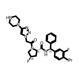 CC(C)c1ccc([C@@H](NC(=O)[C@@H]2C[C@@H](F)CN2C(=O)Cn2cc(N3CCNCC3)nn2)c2ccccc2)cc1F